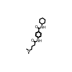 CN(C)CCCC(=O)Nc1ccc(C(=O)NC2CCCCC2)cc1